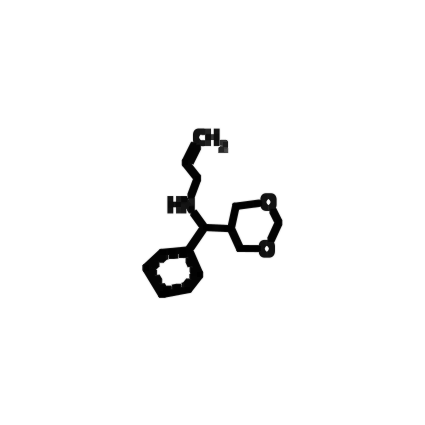 C=CCNC(c1ccccc1)C1COCOC1